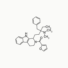 CCC(CCC1c2[nH]c3ccccc3c2CCN1C(=O)c1ccco1)(Cc1ccccc1)N(C)C